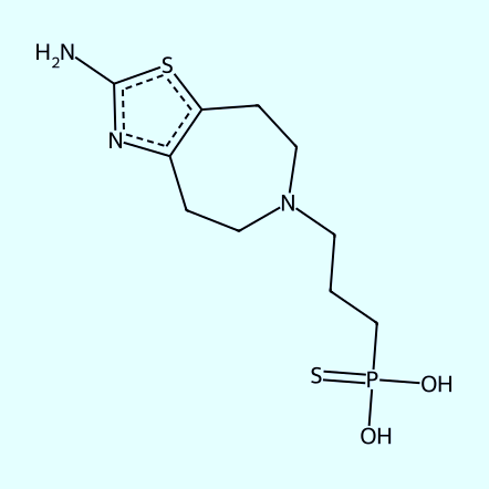 Nc1nc2c(s1)CCN(CCCP(O)(O)=S)CC2